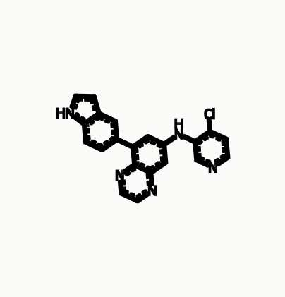 Clc1ccncc1Nc1cc(-c2ccc3[nH]ccc3c2)c2nccnc2c1